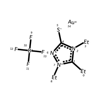 CCc1n(CC)c([S-])n[n+]1CC.F[B-](F)(F)F.[Au+]